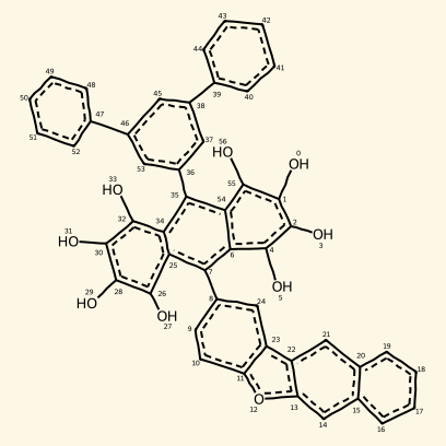 Oc1c(O)c(O)c2c(-c3ccc4oc5cc6ccccc6cc5c4c3)c3c(O)c(O)c(O)c(O)c3c(-c3cc(-c4ccccc4)cc(-c4ccccc4)c3)c2c1O